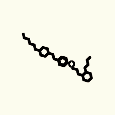 CCCCCCC1CCC(CCc2ccc(OCCCC3CCCCC3CCCC)cc2)CC1